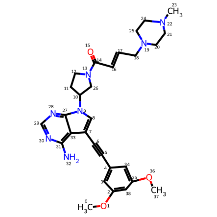 COc1cc(C#Cc2cn(C3CCN(C(=O)C=CCN4CCN(C)CC4)C3)c3ncnc(N)c23)cc(OC)c1